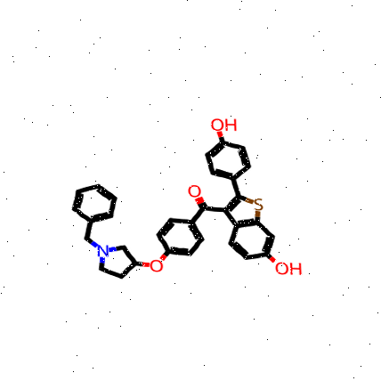 O=C(c1ccc(OC2CCN(Cc3ccccc3)C2)cc1)c1c(-c2ccc(O)cc2)sc2cc(O)ccc12